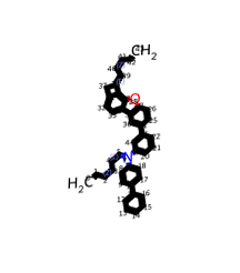 C=C/C=C\C=C/N(c1ccc(-c2ccccc2)cc1)c1cccc(-c2ccc3oc4c5c(ccc4c3c2)C/C5=C\C=C/C=C)c1